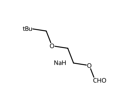 CC(C)(C)COCCOC=O.[NaH]